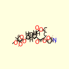 CCO[C@@H]1[C@@H](C)[C@H](C)O[C@@H](O[C@@H]2C[C@H]3CC[C@@H]4[C@@H](C=C5C(=O)[C@H](C)[C@@H](O[C@H]6CC[C@H](N(C)C)[C@@H](C)O6)CCC[C@H](CC)OC(=O)C[C@H]54)[C@@H]3C2)[C@@H]1OC